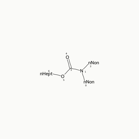 CCCCCCCCCN(CCCCCCCCC)C(=O)OCCCCCCC